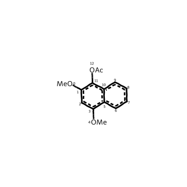 COc1cc(OC)c2ccccc2c1OC(C)=O